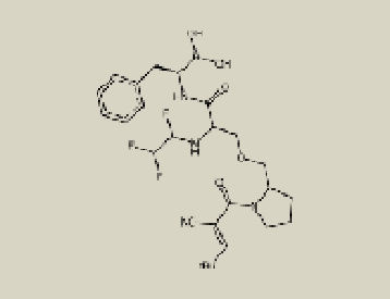 CC(C)(C)C=C(C#N)C(=O)N1CCCC1COCC(NC(F)C(F)F)C(=O)N[C@@H](Cc1ccccc1)B(O)O